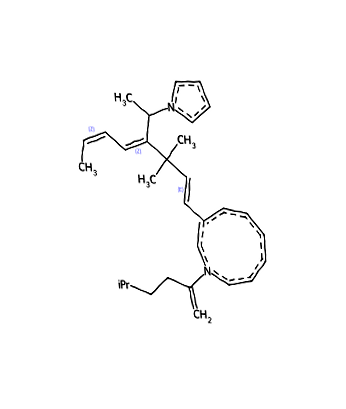 C=C(CCC(C)C)n1ccccccc(/C=C/C(C)(C)/C(=C/C=C\C)C(C)n2cccc2)c1